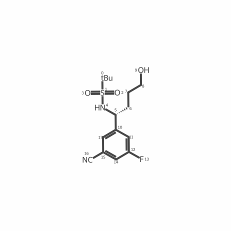 CC(C)(C)S(=O)(=O)N[C@H](CCCO)c1cc(F)cc(C#N)c1